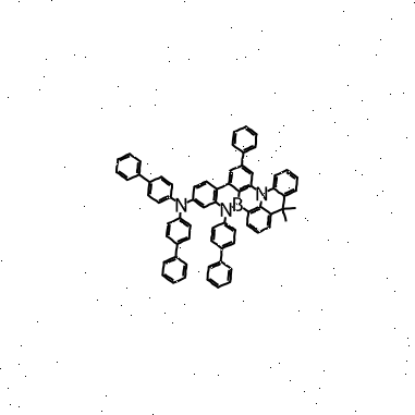 CC1(C)c2ccccc2N2c3cc(-c4ccccc4)cc4c3B(c3cccc1c32)N(c1ccc(-c2ccccc2)cc1)c1cc(N(c2ccc(-c3ccccc3)cc2)c2ccc(-c3ccccc3)cc2)ccc1-4